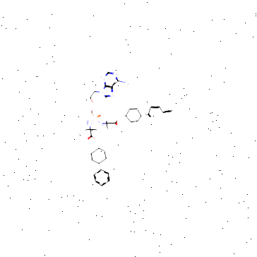 C=C(/C=C\C=C/C)[C@H]1CC[C@H](OC(=O)C(C)(C)NP(=O)(CO[C@H](C)Cn2cnc3c(N)ncnc32)NC(C)(C)C(=O)O[C@H]2CC[C@H](c3ccccc3)CC2)CC1